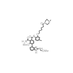 COCNc1nc2c(-c3ccc(C(=O)N(C)c4ccc(C)cc4OCCCCCC(=O)N4CCN(C)CC4)c(C(N)=O)c3OC)cccc2[nH]1